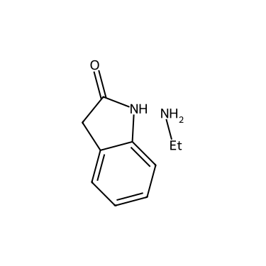 CCN.O=C1Cc2ccccc2N1